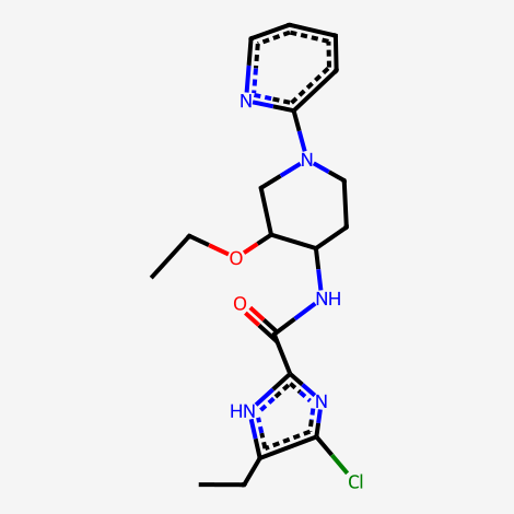 CCOC1CN(c2ccccn2)CCC1NC(=O)c1nc(Cl)c(CC)[nH]1